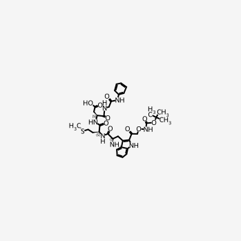 CSCC[C@H](NC(=O)[C@@H](N)Cc1c(C(=O)CONC(=O)OC(C)(C)C)[nH]c2ccccc12)C(=O)N[C@@H](CC(=O)O)C(=O)NCC(=O)Nc1ccccc1